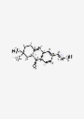 CC1(C)CCc2nc3cc(/C=N/O)ccc3c(=O)n2C1